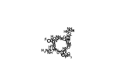 CC(=O)N[C@H](CCNC(=N)N)C(=O)N[C@H]1CSSC(C)(C)[C@@H](C(N)=O)NC(=O)[C@H](Cc2c[nH]c3cc(F)ccc23)NC(=O)[C@H](CCCNC(=N)N)NC(=O)[C@@H](Cc2ccc(F)cc2)NC(=O)[C@H](CCC(N)=O)NC(=O)C2(COC2)NC1=O